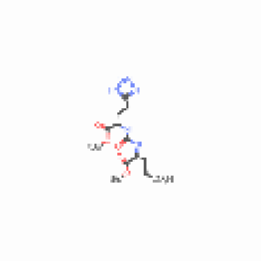 CC(C)(C)OC(=O)[C@H](CCC(=O)O)NC(=O)N[C@@H](CCc1nnn[nH]1)C(=O)OC(C)(C)C